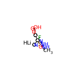 CCNC(=O)Nc1nc2c(F)c(-c3ccc(OCC(=O)O)cc3)cc(-c3ccccn3)c2s1.[LiH]